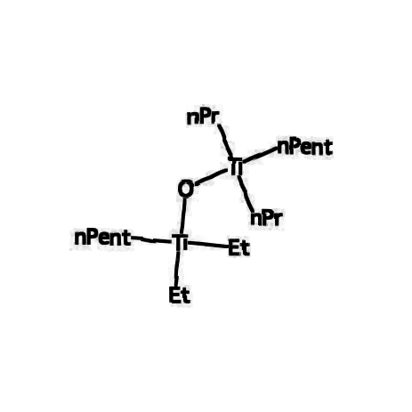 CCCC[CH2][Ti]([CH2]C)([CH2]C)[O][Ti]([CH2]CC)([CH2]CC)[CH2]CCCC